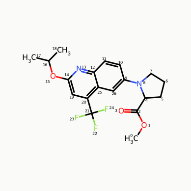 COC(=O)C1CCCN1c1ccc2nc(OC(C)C)cc(C(F)(F)F)c2c1